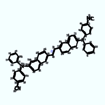 [C-]#[N+]c1ccc(N(c2ccccc2)c2ccc3cc(/C=C/c4ccc5cc(N(c6ccccc6)c6ccc(C#N)cc6)ccc5c4)ccc3c2)cc1